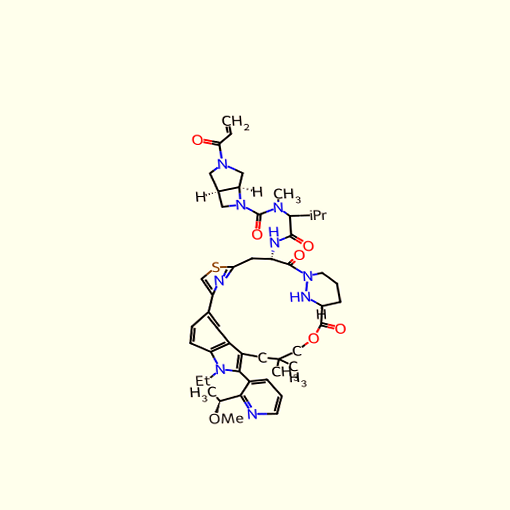 C=CC(=O)N1C[C@@H]2CN(C(=O)N(C)C(C(=O)N[C@H]3Cc4nc(cs4)-c4ccc5c(c4)c(c(-c4cccnc4[C@H](C)OC)n5CC)CC(C)(C)COC(=O)[C@@H]4CCCN(N4)C3=O)C(C)C)[C@@H]2C1